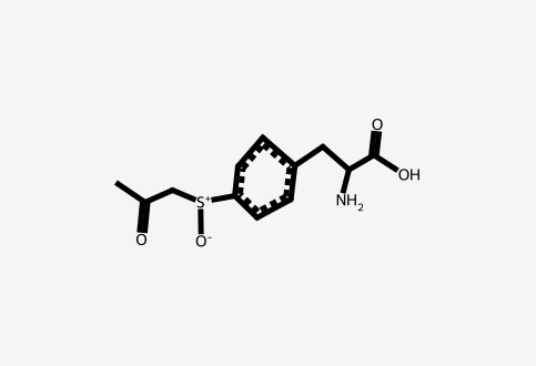 CC(=O)C[S+]([O-])c1ccc(CC(N)C(=O)O)cc1